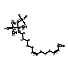 CCCCCCCCCC/C=C\CCC/C=C\CCCCCCC(O)(C[N+](C)(C)C)P(=O)(O)O